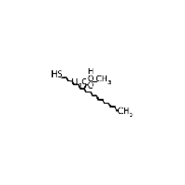 CCCCCCCCCCCCC(CCCCCCCS)C(C)OC(O)CC